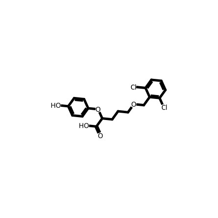 O=C(O)C(CCCOCc1c(Cl)cccc1Cl)Oc1ccc(O)cc1